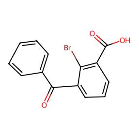 O=C(O)c1cccc(C(=O)c2ccccc2)c1Br